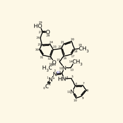 [C-]#[N+]/N=C(\NCc1ccccn1)N(CC)Cc1cc(C)ccc1-c1cc(CC(=O)O)ccc1OC